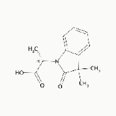 C[C@@H](C(=O)O)N1C(=O)C(C)(C)c2ccccc21